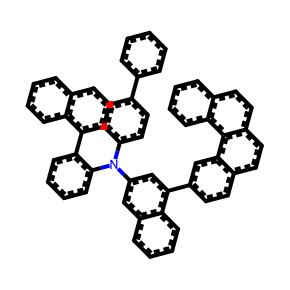 c1ccc(-c2ccc(N(c3cc(-c4ccc5ccc6ccc7ccccc7c6c5c4)c4ccccc4c3)c3ccccc3-c3cccc4ccccc34)cc2)cc1